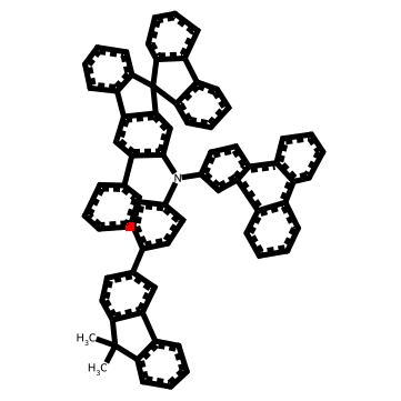 CC1(C)c2ccccc2-c2cc(-c3ccc(N(c4ccc5c6ccccc6c6ccccc6c5c4)c4cc5c(cc4-c4ccccc4)-c4ccccc4C54c5ccccc5-c5ccccc54)cc3)ccc21